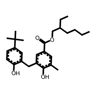 CCCCC(CC)COC(=O)c1cc(C)c(O)c(Cc2cc(C(C)(C)C)ccc2O)c1